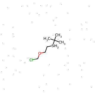 CC(C)(C)[SiH2]CCOCCl